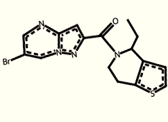 CCC1c2ccsc2CCN1C(=O)c1cc2ncc(Br)cn2n1